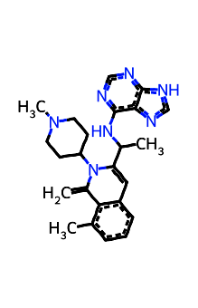 C=C1c2c(C)cccc2C=C(C(C)Nc2ncnc3[nH]cnc23)N1C1CCN(C)CC1